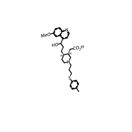 COc1ccc2nccc(C(O)CC[C@@H]3CCN(CCCSc4ccc(C)cc4)C[C@@H]3CC(=O)O)c2c1